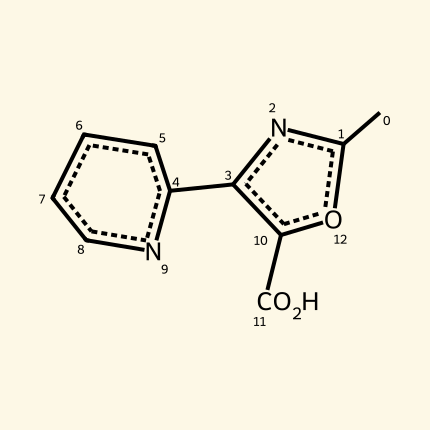 Cc1nc(-c2ccccn2)c(C(=O)O)o1